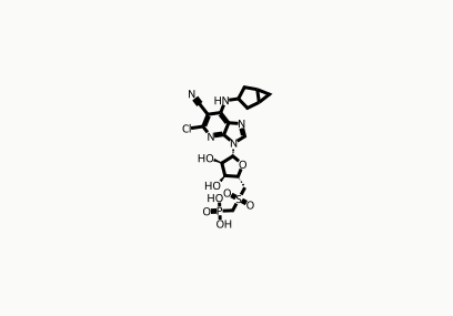 N#Cc1c(Cl)nc2c(ncn2[C@@H]2O[C@H](CS(=O)(=O)CP(=O)(O)O)[C@@H](O)[C@H]2O)c1NC1CC2CC2C1